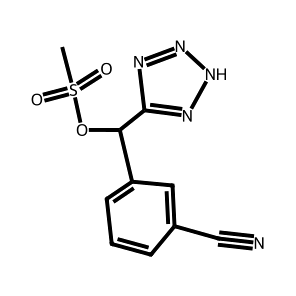 CS(=O)(=O)OC(c1cccc(C#N)c1)c1nn[nH]n1